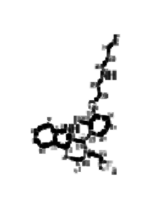 C[C@@H]1Cc2c([nH]c3ccccc23)[C@@H](c2cccc(OCCNCCCF)c2F)N1CC(F)(F)F